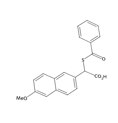 COc1ccc2cc(C(SC(=O)c3ccccc3)C(=O)O)ccc2c1